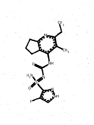 Cc1c(CC(F)(F)F)nc2c(c1NC(=O)N=S(N)(=O)c1n[nH]cc1F)CCC2